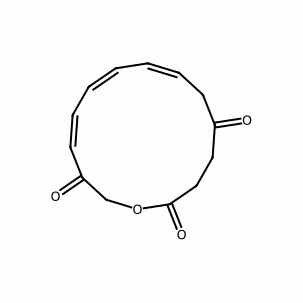 O=C1C=CC=CC=CCC(=O)CCC(=O)OC1